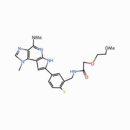 CNc1nc2[nH]c(-c3ccc(F)c(CNC(=O)COCCOC)c3)cc2c2c1ncn2C